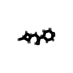 CC1CC(CC(=O)N2CCOCC2)C1